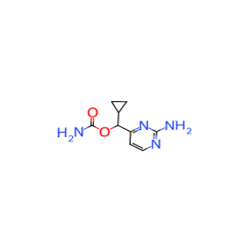 NC(=O)OC(c1ccnc(N)n1)C1CC1